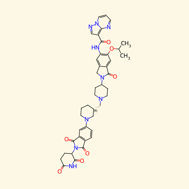 CC(C)Oc1cc2c(cc1NC(=O)c1cnn3cccnc13)CN(C1CCN(C[C@H]3CCCN(c4ccc5c(c4)C(=O)N(C4CCC(=O)NC4=O)C5=O)C3)CC1)C2=O